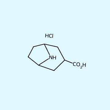 Cl.O=C(O)C1CC2CCC(C1)N2